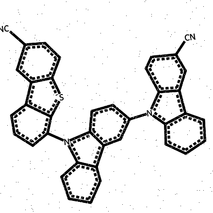 N#Cc1ccc2sc3c(-n4c5ccccc5c5cc(-n6c7ccccc7c7cc(C#N)ccc76)ccc54)cccc3c2c1